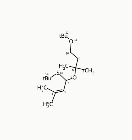 CC(C)=CC(OC(C)(C)CCOC(C)(C)C)SC(C)(C)C